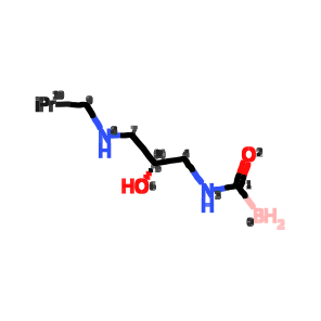 BC(=O)NC[C@H](O)CNCC(C)C